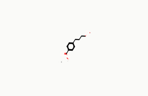 CCCCCOC(=O)c1ccc(CCCCO[C]=O)cc1